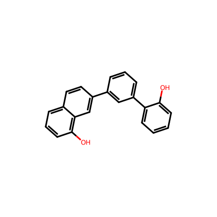 Oc1ccccc1-c1cccc(-c2ccc3cccc(O)c3c2)c1